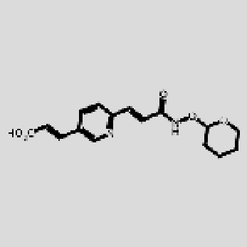 O=C(O)C=Cc1ccc(C=CC(=O)NOC2CCCCO2)nc1